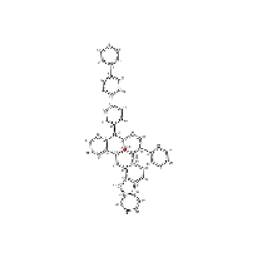 c1ccc(-c2ccc(-c3ccc(N(c4ccc(-c5ccccc5)cc4)c4ccccc4-c4ccc5ccc6c7ccccc7oc6c5c4)cc3)cc2)cc1